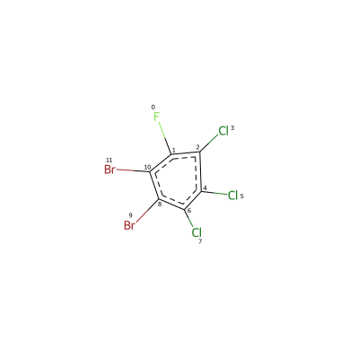 Fc1c(Cl)c(Cl)c(Cl)c(Br)c1Br